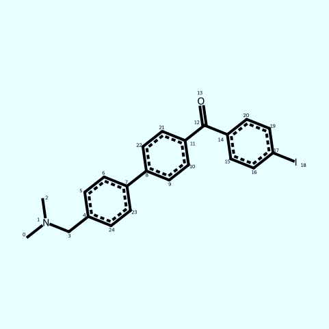 CN(C)Cc1ccc(-c2ccc(C(=O)c3ccc(I)cc3)cc2)cc1